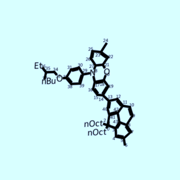 CCCCCCCCC1(CCCCCCCC)c2cc(C)cc3ccc4cc(-c5ccc6c(c5)OC5C=C(C)C=CC5N6c5ccc(OCC(CC)CCCC)cc5)cc1c4c23